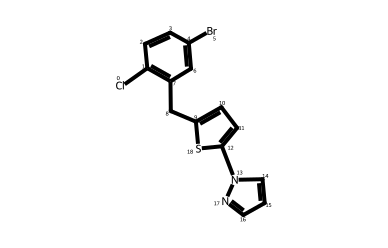 Clc1ccc(Br)cc1Cc1ccc(-n2cccn2)s1